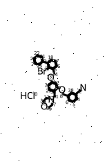 Cl.N#Cc1cccc(COc2cc(OCc3cccc(-c4ccccc4)c3Br)ccc2CN2CCOCC2)c1